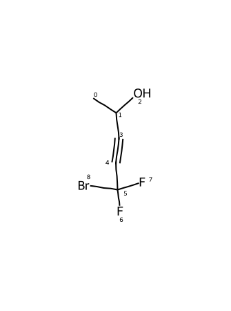 CC(O)C#CC(F)(F)Br